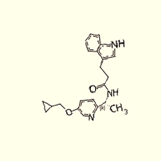 C[C@@H](NC(=O)CCc1c[nH]c2ccccc12)c1ccc(OCC2CC2)cn1